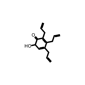 C=CCC1=CC(O)C(=O)C(CC=C)=C1CC=C